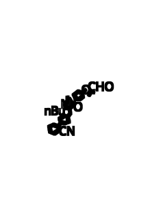 CCCCc1nc(C)n(-c2ccc(OC(C)(C)C=O)cc2)c(=O)c1Cc1ccc(-c2ccccc2C#N)cc1